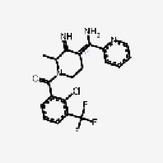 CC1C(=N)/C(=C(\N)c2ccccn2)CCN1C(=O)c1cccc(C(F)(F)F)c1Cl